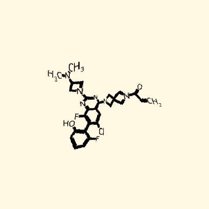 C=CC(=O)N1CC2(C1)CN(c1nc(N3CC(N(C)C)C3)nc3c(F)c(-c4c(O)cccc4F)c(Cl)cc13)C2